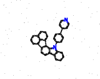 c1cc2c3c(cccc3c1)-c1c-2ccc2c3ccccc3n(-c3ccc(-c4ccncc4)cc3)c12